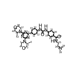 C[C@H]1COCCN1c1nc(-c2ccc(NC(=O)Nc3ccc(C(=O)NCCN(C)C)cc3)cc2)nc(N2CCOC[C@@H]2C)n1